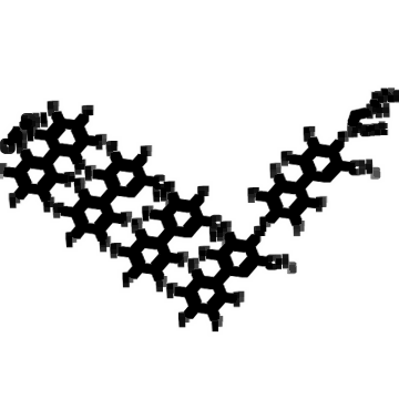 CCCCCCCCCPCC(C)CCC.Cc1cc(-c2c(F)c(F)c(F)c(F)c2F)c(F)c(F)c1F.Cc1cc(-c2c(F)c(F)c(F)c(F)c2F)c(F)c(F)c1F.Cc1cc(-c2c(F)c(F)c(F)c(F)c2F)c(F)c(F)c1F.Cc1cc(-c2c(F)c(F)c(F)c(F)c2F)c(F)c(F)c1F.Fc1c(F)c(F)c(-c2c(F)c(F)c(F)c(F)c2F)c(F)c1F.[O]=[Al][OH]